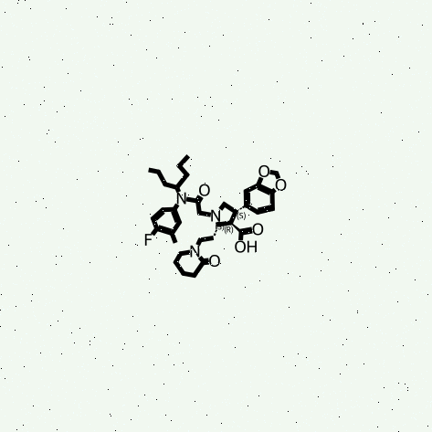 CCCC(CCC)N(C(=O)CN1C[C@H](c2ccc3c(c2)OCO3)[C@@H](C(=O)O)[C@@H]1CCN1CCCCC1=O)c1ccc(F)c(C)c1